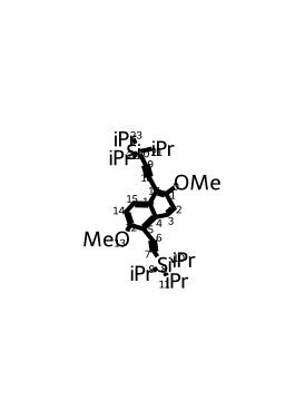 COc1ccc2c(C#C[Si](C(C)C)(C(C)C)C(C)C)c(OC)ccc2c1C#C[Si](C(C)C)(C(C)C)C(C)C